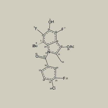 CC[C@@H](C)c1c(F)c(O)c(F)c2c(OC(C)=O)c(C)n(C(=O)c3ccc(Cl)c(F)c3)c12